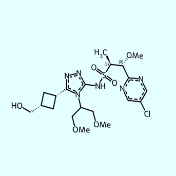 COCC(COC)n1c(NS(=O)(=O)[C@@H](C)[C@H](OC)c2ncc(Cl)cn2)nnc1[C@H]1C[C@@H](CO)C1